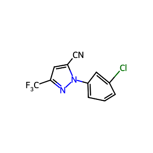 N#Cc1cc(C(F)(F)F)nn1-c1cccc(Cl)c1